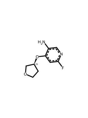 Nc1cnc(F)cc1O[C@H]1CCOC1